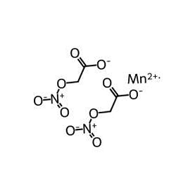 O=C([O-])CO[N+](=O)[O-].O=C([O-])CO[N+](=O)[O-].[Mn+2]